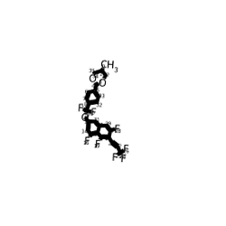 CC1COC(c2ccc(C(F)(F)Oc3cc(F)c4c(F)c(C#CC(F)(F)F)c(F)cc4c3)cc2)OC1